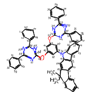 CC1(C)c2ccccc2-c2cc3c4ccccc4n(-c4cc(Oc5nc(-c6ccccc6)nc(-c6ccccc6)n5)cc(Oc5nc(-c6ccccc6)nc(-c6ccccc6)n5)c4)c3cc21